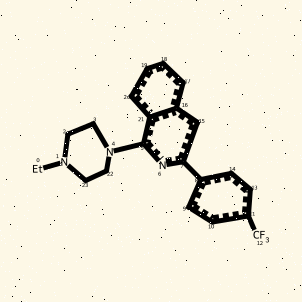 CCN1CCN(c2nc(-c3ccc(C(F)(F)F)cc3)cc3ccccc23)CC1